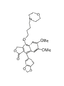 COc1cc2c(OCCCCN3CCOCC3)c3c(c(-c4ccc5c(c4)OCO5)c2cc1OC)C(=O)OC3